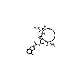 COC(=O)[C@@]12C[C@H]1/C=C\CCCCC[C@H](N)C(=O)N1C[C@H](OC(=O)N3Cc4cccc(F)c4C3)C[C@H]1C(=O)N2